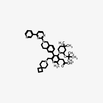 Cc1nc(CN2CCC3(CCC3)CC2)c(-c2ccc3c(c2)CCN(c2nccc(-c4cccnc4)n2)C3)c(N2CCC(C)(C)CC2OC(C)(C)C)c1CC(=O)O